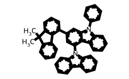 CC1(C)c2ccccc2-c2c(-c3cc(-n4c5ccccc5c5ccccc54)c4c5ccccc5n(-c5ccccc5)c4c3)cccc21